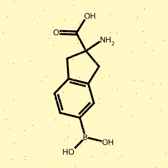 NC1(C(=O)O)Cc2ccc(B(O)O)cc2C1